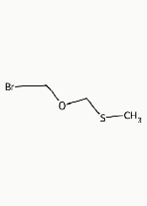 CSCOCBr